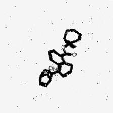 CC1(OC(=O)c2cccc3c(C4CC5C=CC4C5O)cccc23)CCCCC1